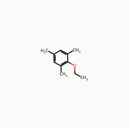 C[CH]Oc1c(C)cc(C)cc1C